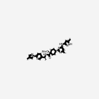 CO[C@]1(C(=O)N[C@@H](C)c2ccc(-n3cc(C)cn3)nc2)CC[C@H](c2nc(C)cc(Nc3cc(C)[nH]n3)n2)CC1